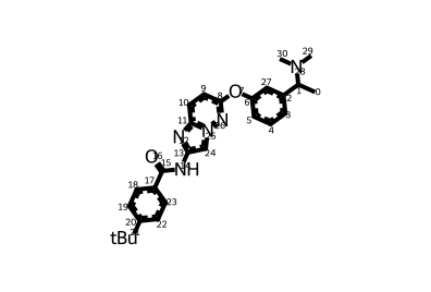 CC(c1cccc(Oc2ccc3nc(NC(=O)c4ccc(C(C)(C)C)cc4)cn3n2)c1)N(C)C